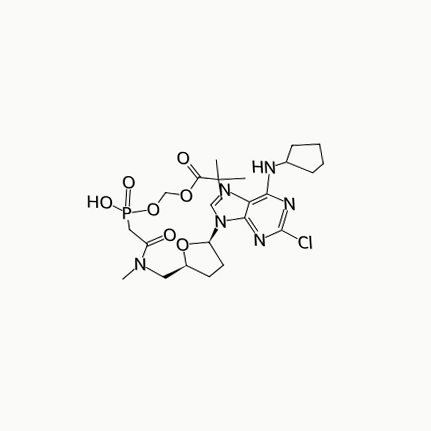 CN(C[C@@H]1CC[C@H](n2cnc3c(NC4CCCC4)nc(Cl)nc32)O1)C(=O)CP(=O)(O)OCOC(=O)C(C)(C)C